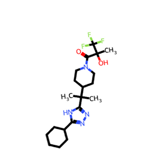 CC(C)(c1nnc(C2CCCCC2)[nH]1)C1CCN(C(=O)C(C)(O)C(F)(F)F)CC1